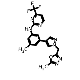 Cc1cc(Nc2nccc(C(F)(F)F)n2)cc(-c2cnn(Cc3nnc(C)o3)c2)c1